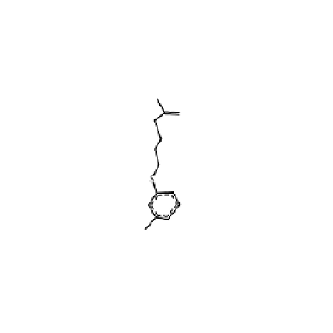 C=C(C)CCCCSc1cccc(C)c1